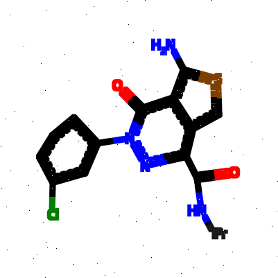 CC(C)NC(=O)c1nn(-c2cccc(Cl)c2)c(=O)c2c(N)scc12